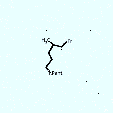 [CH2]CCCCCCCC([CH2])CC(C)C